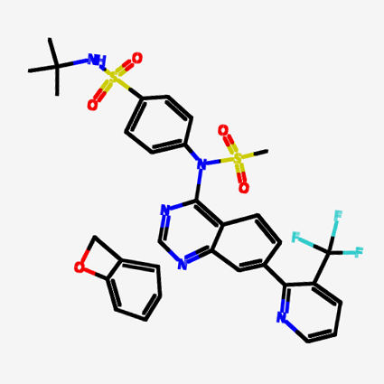 CC(C)(C)NS(=O)(=O)c1ccc(N(c2ncnc3cc(-c4ncccc4C(F)(F)F)ccc23)S(C)(=O)=O)cc1.c1ccc2c(c1)CO2